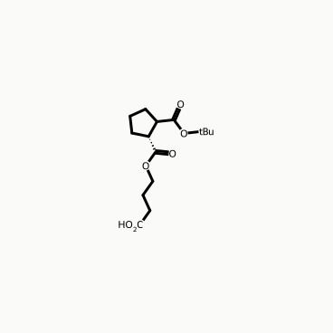 CC(C)(C)OC(=O)C1CCC[C@H]1C(=O)OCCCC(=O)O